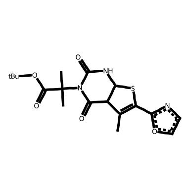 CC1=C(c2ncco2)SC2NC(=O)N(C(C)(C)C(=O)OC(C)(C)C)C(=O)C12